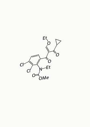 CCOC=C(C(=O)c1ccc(Cl)c(Cl)c1N(CC)C(=O)OC)C(=O)C1CC1